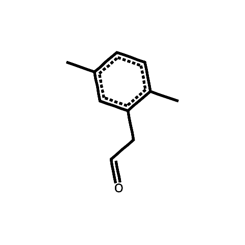 Cc1ccc(C)c(CC=O)c1